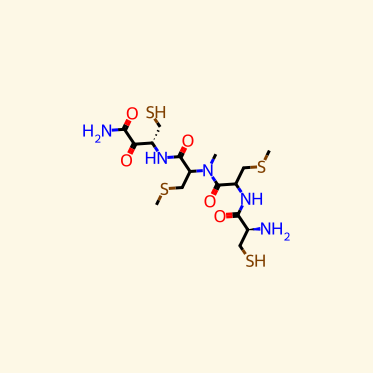 CSCC(NC(=O)[C@@H](N)CS)C(=O)N(C)C(CSC)C(=O)N[C@@H](CS)C(=O)C(N)=O